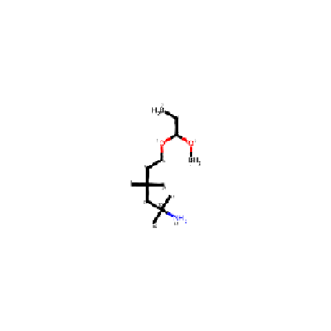 BCC(OB)OCCC(C)(C)CC(C)(C)N